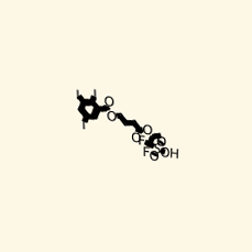 CC(OC(=O)CCCOC(=O)c1cc(I)cc(I)c1I)C(F)(F)S(=O)(=O)O